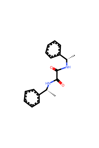 C[C@H](NC(=O)C(=O)N[C@H](C)c1ccccc1)c1ccccc1